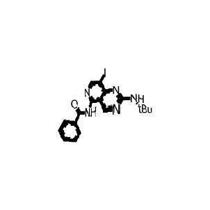 CC(C)(C)Nc1ncc2c(NC(=O)c3ccccc3)ncc(I)c2n1